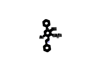 CCOC(=O)c1c(/C=C/c2ccccc2)c(C(C)=O)cn(-c2ccccc2)c1=N